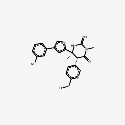 CC(C)Oc1ccc([C@H]2C(=O)N(C)C(=N)N[C@]2(C)c2cc(-c3cccc(C#N)c3)cs2)cn1